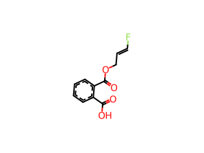 O=C(O)c1ccccc1C(=O)OCC=CF